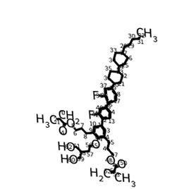 C=C(C)C(=O)OCCCc1cc(-c2ccc(-c3ccc(C4CCC(C5CCC(CCCCC)CC5)CC4)cc3F)cc2F)cc(CCCOC(=O)C(=C)C)c1OCCC(CO)CO